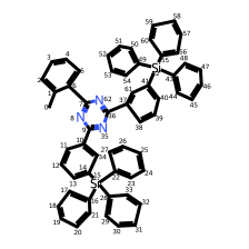 Cc1ccccc1-c1nc(-c2cccc([Si](c3ccccc3)(c3ccccc3)c3ccccc3)c2)nc(-c2cccc([Si](c3ccccc3)(c3ccccc3)c3ccccc3)c2)n1